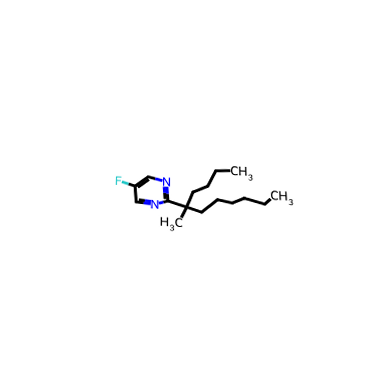 CCCCCCC(C)(CCCC)c1ncc(F)cn1